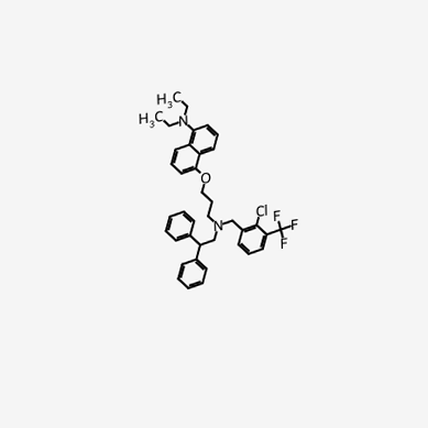 CCN(CC)c1cccc2c(OCCCN(Cc3cccc(C(F)(F)F)c3Cl)CC(c3ccccc3)c3ccccc3)cccc12